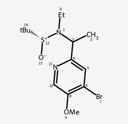 CCN(C(C)c1cc(Br)c(OC)cn1)[S@+]([O-])C(C)(C)C